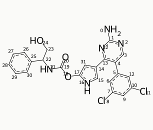 Nc1ncc(-c2cc(Cl)cc(Cl)c2)c(-c2c[nH]c(OC(=O)NC(CO)c3ccccc3)c2)n1